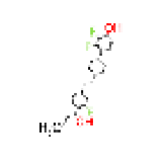 CCCC(O)c1ccc(CCC2CCC(c3ccc(O)c(F)c3F)CC2)cc1F